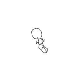 C1CCCC/C(=N/C2C3CC4CC(C3)CC2C4)NCCC1